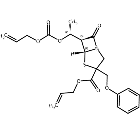 C=CCOC(=O)O[C@H](C)[C@H]1C(=O)N2CC(COc3ccccc3)(C(=O)OCC=C)S[C@H]12